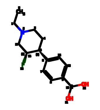 CCN1CC[C@H](c2ccc(B(O)O)cc2)[C@@H](F)C1